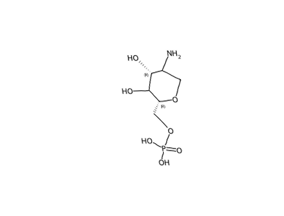 NC1CO[C@H](COP(=O)(O)O)C(O)[C@@H]1O